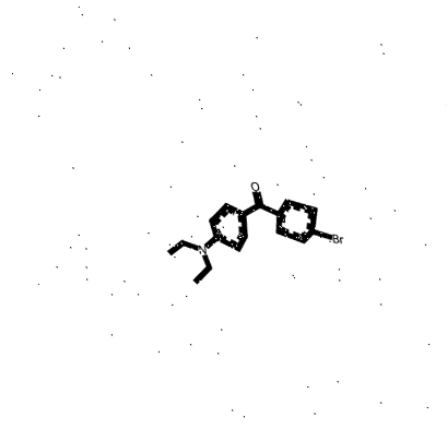 CCN(CC)c1ccc(C(=O)c2ccc(Br)cc2)cc1